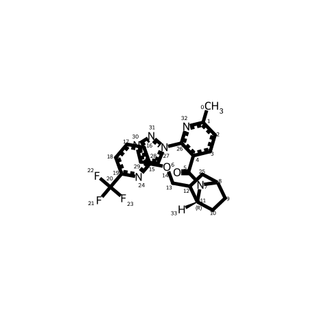 Cc1ccc(C(=O)N2C3CC[C@@H]2C(COc2cccc(C(F)(F)F)n2)C3)c(-n2ccnn2)n1